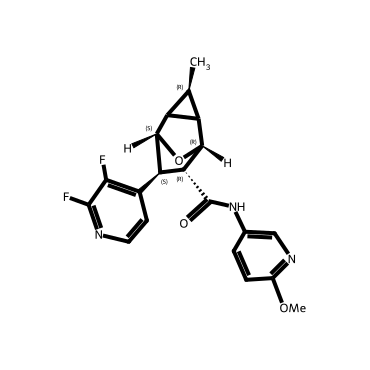 COc1ccc(NC(=O)[C@@H]2[C@@H](c3ccnc(F)c3F)[C@H]3O[C@@H]2C2C3[C@H]2C)cn1